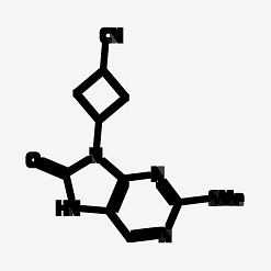 CSc1ncc2[nH]c(=O)n(C3CC(C#N)C3)c2n1